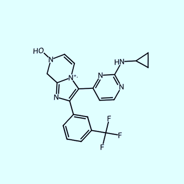 ON1C=C[N+]2C(=NC(c3cccc(C(F)(F)F)c3)=C2c2ccnc(NC3CC3)n2)C1